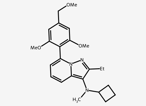 CCc1nn2c(-c3c(OC)cc(COC)cc3OC)cccc2c1N(C)C1CCC1